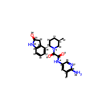 Cc1cc(NC(=O)C(=O)N2C[C@H](C)CC[C@H]2c2cccc3c2CC(=O)N3)cnc1N